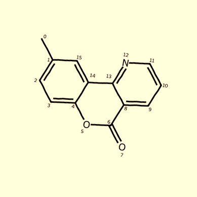 Cc1ccc2oc(=O)c3cccnc3c2c1